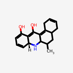 CC1CC2CC=CCC2=C2C(O)=C3C(O)=CC=C[C@H]3NC21